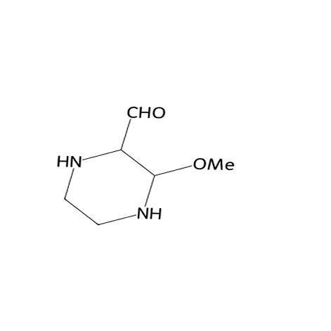 COC1NCCNC1C=O